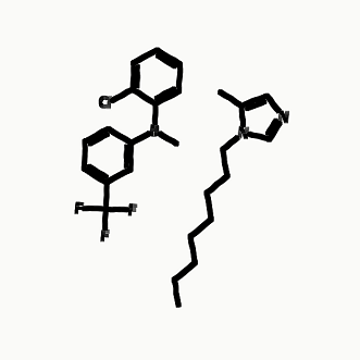 CB(c1cccc(C(F)(F)F)c1)c1ccccc1Cl.CCCCCCCCn1cncc1C